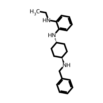 CCNc1ccccc1N[C@H]1CC[C@H](NCc2ccccc2)CC1